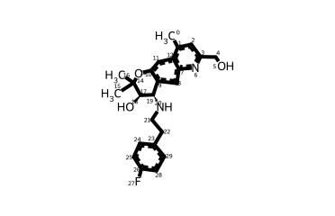 Cc1cc(CO)nc2cc3c(cc12)OC(C)(C)[C@H](O)[C@H]3NCCc1ccc(F)cc1